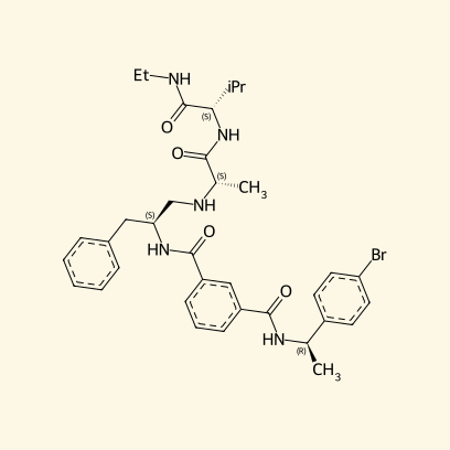 CCNC(=O)[C@@H](NC(=O)[C@H](C)NC[C@H](Cc1ccccc1)NC(=O)c1cccc(C(=O)N[C@H](C)c2ccc(Br)cc2)c1)C(C)C